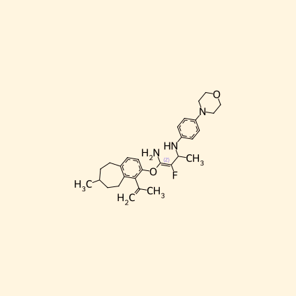 C=C(C)c1c(O/C(N)=C(\F)C(C)Nc2ccc(N3CCOCC3)cc2)ccc2c1CCC(C)CC2